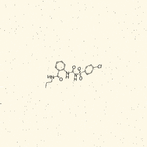 CCCNC(=O)c1ccccc1NC(=O)NS(=O)(=O)c1ccc(Cl)cc1